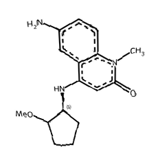 COC1CCC[C@@H]1Nc1cc(=O)n(C)c2ccc(N)cc12